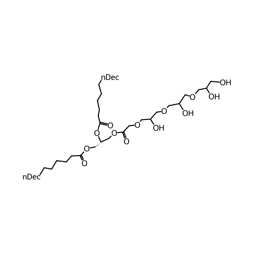 CCCCCCCCCCCCCCCC(=O)OC[C@@H](COC(=O)COCC(O)COCC(O)COCC(O)CO)OC(=O)CCCCCCCCCCCCCCC